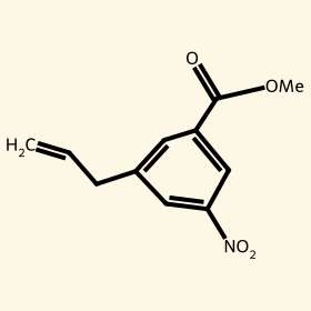 C=CCc1cc(C(=O)OC)cc([N+](=O)[O-])c1